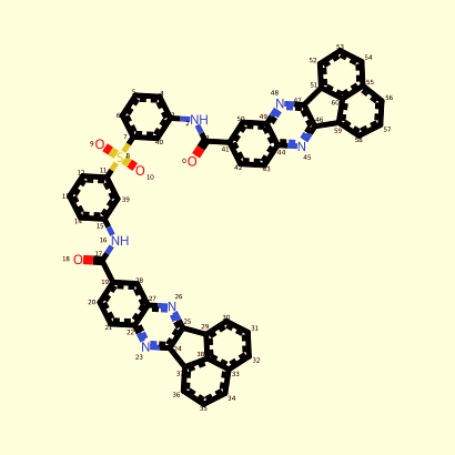 O=C(Nc1cccc(S(=O)(=O)c2cccc(NC(=O)c3ccc4nc5c(nc4c3)-c3cccc4cccc-5c34)c2)c1)c1ccc2nc3c(nc2c1)-c1cccc2cccc-3c12